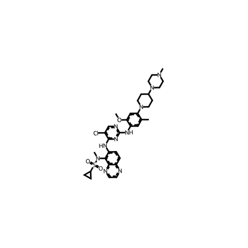 COc1cc(N2CCC(N3CCN(C)CC3)CC2)c(C)cc1Nc1ncc(Cl)c(Nc2ccc3nccnc3c2N(C)S(=O)(=O)C2CC2)n1